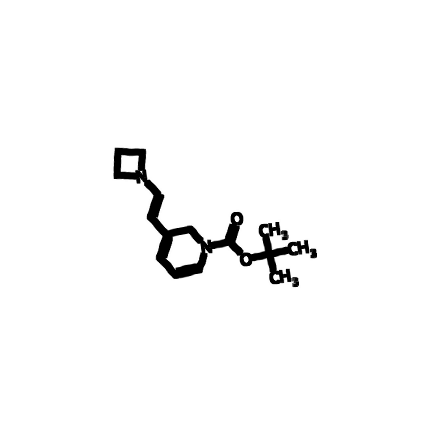 CC(C)(C)OC(=O)N1C=CC=C(/C=C/N2CCC2)C1